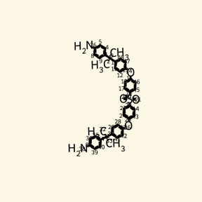 CC(C)(c1ccc(N)cc1)c1ccc(Oc2ccc(S(=O)(=O)c3ccc(Oc4ccc(C(C)(C)c5ccc(N)cc5)cc4)cc3)cc2)cc1